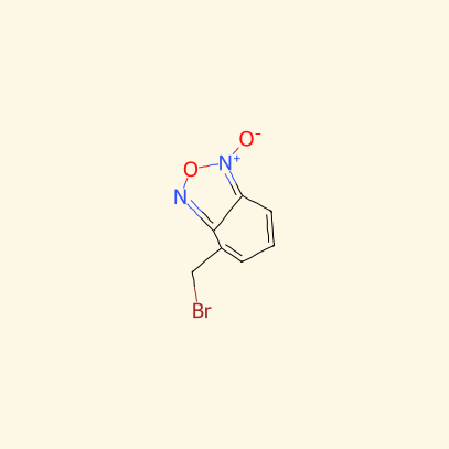 [O-][n+]1onc2c(CBr)cccc21